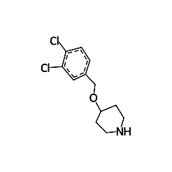 Clc1ccc(COC2CCNCC2)cc1Cl